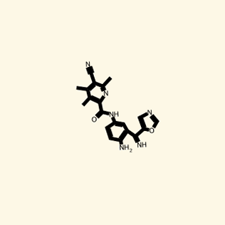 Cc1nc(C(=O)Nc2ccc(N)c(C(=N)c3cnco3)c2)c(C)c(C)c1C#N